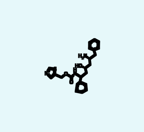 N[C@@H](Cc1ccccc1)C[C@H](O)CC(NC(=O)OCc1cncs1)c1ccccc1